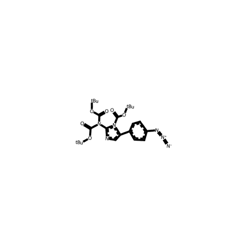 CC(C)(C)OC(=O)N(C(=O)OC(C)(C)C)c1ncc(-c2ccc(N=[N+]=[N-])cc2)n1C(=O)OC(C)(C)C